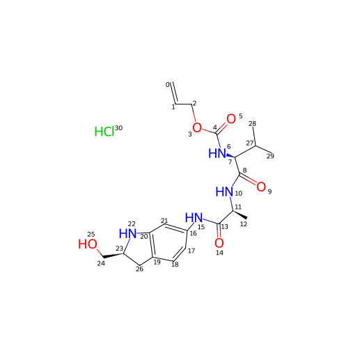 C=CCOC(=O)N[C@H](C(=O)N[C@@H](C)C(=O)Nc1ccc2c(c1)N[C@H](CO)C2)C(C)C.Cl